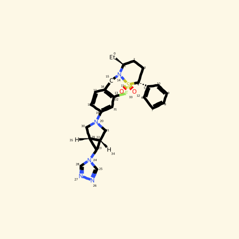 CC[C@H]1CC[C@H](c2ccccc2)S(=O)(=O)N1Cc1ccc(N2C[C@@H]3C(n4cnnc4)[C@@H]3C2)cc1F